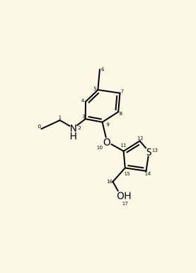 CCNc1cc(C)ccc1Oc1cscc1CO